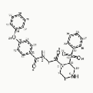 O=C(NCC(=O)N1CCNCC1S(=O)(=O)c1ccccc1)c1ccc(Oc2ccccc2)cc1